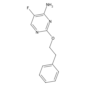 Nc1nc(OCCc2ccccc2)ncc1F